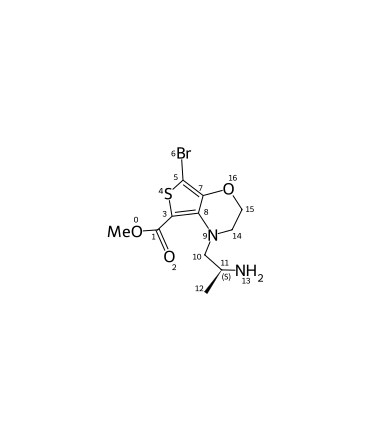 COC(=O)c1sc(Br)c2c1N(C[C@H](C)N)CCO2